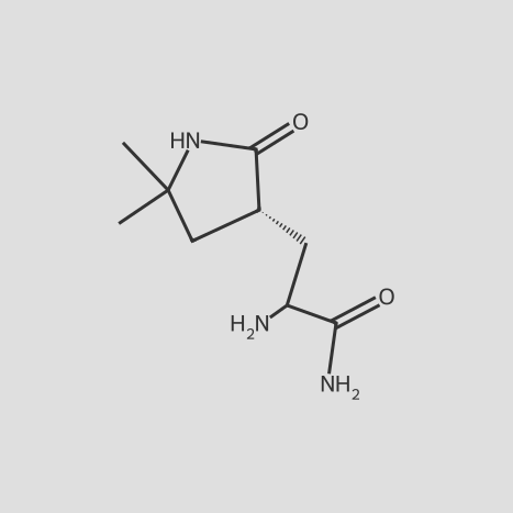 CC1(C)C[C@@H](CC(N)C(N)=O)C(=O)N1